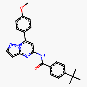 COc1ccc(-c2cc(NC(=O)c3ccc(C(C)(C)C)cc3)nc3ccnn23)cc1